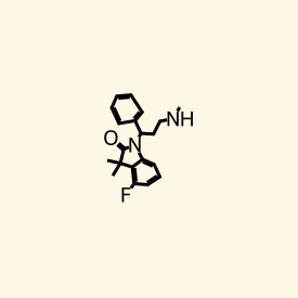 CNCCC(c1ccccc1)N1C(=O)C(C)(C)c2c(F)cccc21